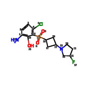 Nc1ccc(Cl)c(S(=O)(=O)C2CC(N3CCC(F)C3)C2)c1O